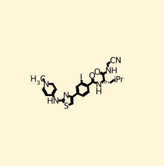 CC(C)C[C@H](NC(=O)c1ccc(-c2csc(NC3=CCN(C)C=C3)n2)cc1I)C(=O)NCC#N